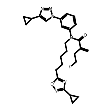 C=C(CCF)C(=O)N(CCCCCc1nc(C2CC2)no1)c1cccc(-n2cc(C3CC3)nn2)c1